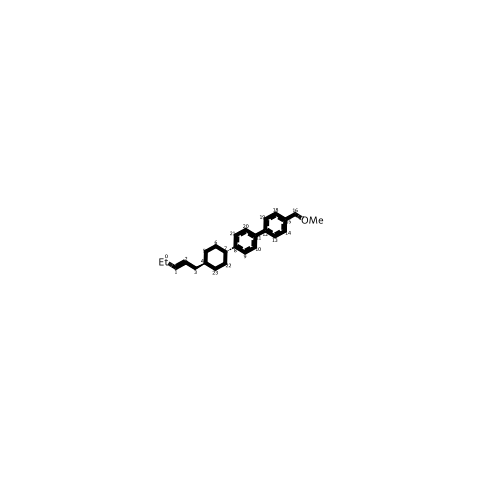 CC/C=C/C[C@H]1CC[C@H](c2ccc(-c3ccc(COC)cc3)cc2)CC1